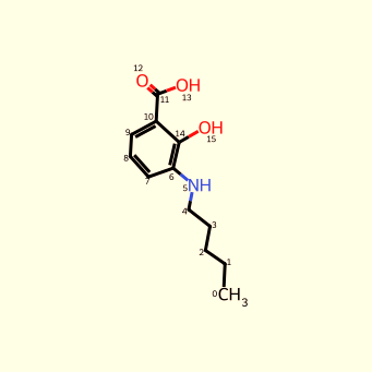 CCCCCNc1cccc(C(=O)O)c1O